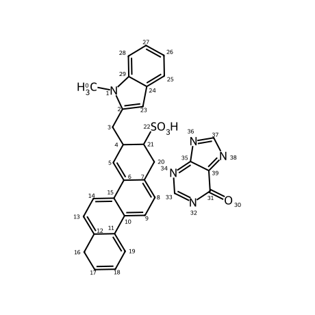 Cn1c(CC2C=c3c(ccc4c5c(ccc34)CC=CC=5)CC2S(=O)(=O)O)cc2ccccc21.O=C1N=CN=C2N=CN=C12